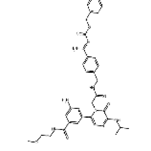 COCCNC(=O)c1cc(N)cc(-c2cnc(NC(C)C)c(=O)n2CC(=O)NCc2ccc(/C(N)=N/C(=O)OCc3ccccc3)cc2)c1